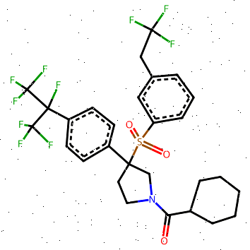 O=C(C1CCCCC1)N1CCC(c2ccc(C(F)(C(F)(F)F)C(F)(F)F)cc2)(S(=O)(=O)c2cccc(CC(F)(F)F)c2)C1